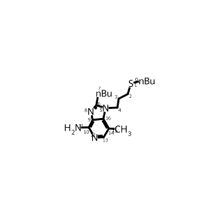 CCCCSCCCn1c(CCCC)nc2c(N)ncc(C)c21